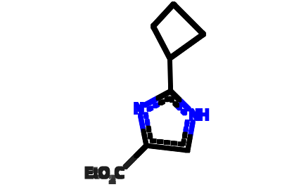 CCOC(=O)c1c[nH]c(C2CCC2)n1